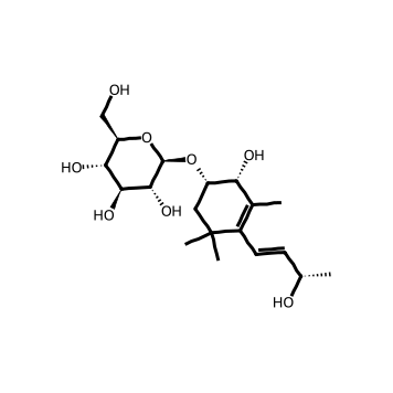 CC1=C(/C=C/[C@H](C)O)C(C)(C)C[C@H](O[C@@H]2O[C@H](CO)[C@@H](O)[C@H](O)[C@H]2O)[C@@H]1O